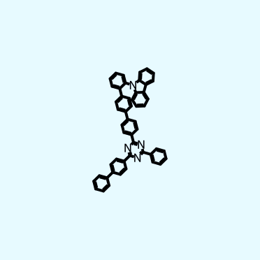 c1ccc(-c2ccc(-c3nc(-c4ccccc4)nc(-c4ccc(-c5ccc(-c6ccccc6-n6c7ccccc7c7ccccc76)cc5)cc4)n3)cc2)cc1